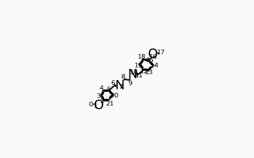 COc1ccc(/C=N/CC/N=C/c2ccc(OC)cc2)cc1